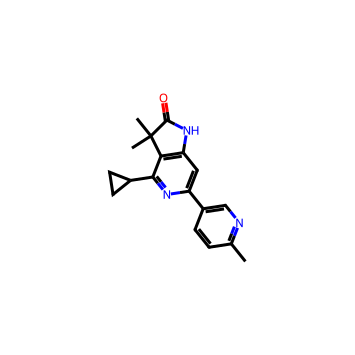 Cc1ccc(-c2cc3c(c(C4CC4)n2)C(C)(C)C(=O)N3)cn1